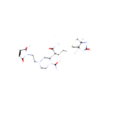 CCCCCCNC(=O)C(CCC[C@@H]1SC[C@@H]2NC(=O)N[C@@H]21)C1CN(CCN2C(=O)C=CC2=O)CCN1C(N)=O